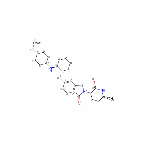 C=C1CCC(N2Cc3cc(C[C@H]4CCCC[C@@H]4N[C@H]4CC[C@@H](COC)CC4)ccc3C2=O)C(=O)N1